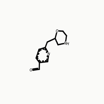 O=Cc1ccc(CC2CNCCO2)nc1